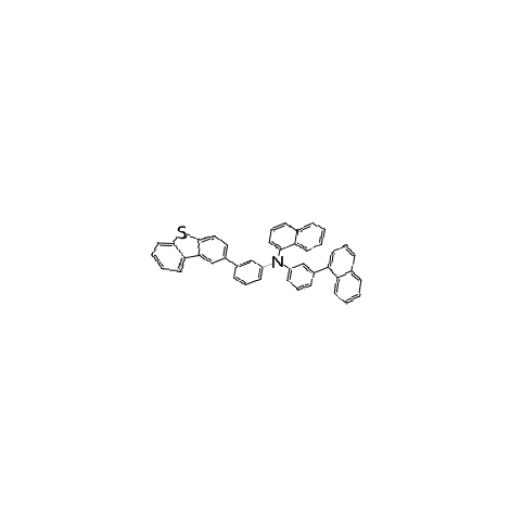 c1cc(-c2ccc3sc4ccccc4c3c2)cc(N(c2cccc(-c3cccc4ccccc34)c2)c2cccc3ccccc23)c1